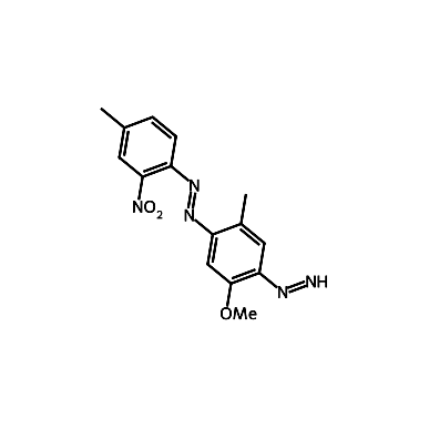 COc1cc(N=Nc2ccc(C)cc2[N+](=O)[O-])c(C)cc1N=N